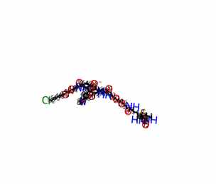 O=C(CCCC[C@@H]1SC[C@@H]2NC(=O)N[C@@H]21)NCCOCCOCCNC(=O)C1C[N+](=c2ccc3c(-c4cc(C(=O)NCCOCCOCCCCCCCl)ccc4C(=O)[O-])c4ccc(N5CCC5)cc4oc-3c2)C1